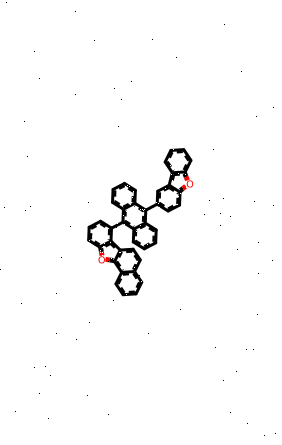 c1ccc2c(c1)ccc1c2oc2cccc(-c3c4ccccc4c(-c4ccc5oc6ccccc6c5c4)c4ccccc34)c21